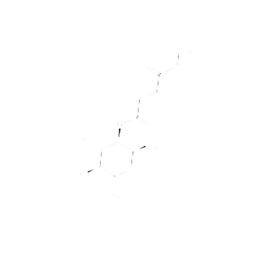 COC(=O)CCC(=O)N[C@H]1[C@@H](OC)O[C@H](CO)[C@@H](O)[C@@H]1O